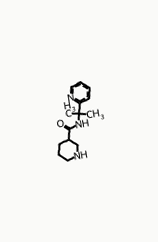 CC(C)(NC(=O)C1CCCNC1)c1ccccn1